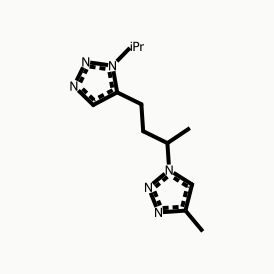 Cc1cn(C(C)CCc2cnnn2C(C)C)nn1